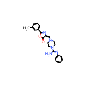 Cc1cccc(C2=NC(=CN3CCN(C(N)=Nc4ccccc4)CC3)C(=O)O2)c1